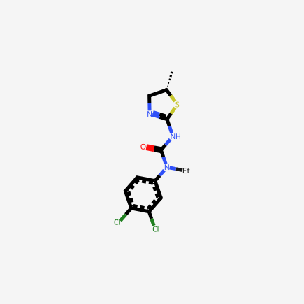 CCN(C(=O)NC1=NC[C@H](C)S1)c1ccc(Cl)c(Cl)c1